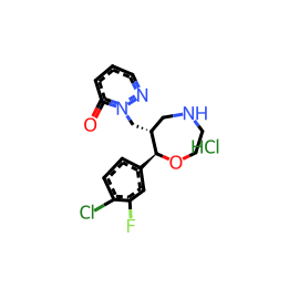 Cl.O=c1cccnn1C[C@@H]1CNCCO[C@H]1c1ccc(Cl)c(F)c1